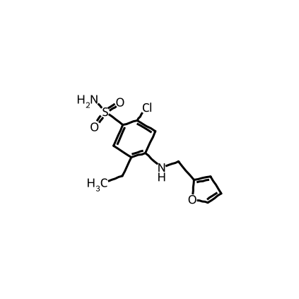 CCc1cc(S(N)(=O)=O)c(Cl)cc1NCc1ccco1